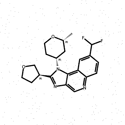 C[C@@H]1C[C@H](n2c([C@H]3CCOC3)nc3cnc4ccc(C(F)F)cc4c32)CCO1